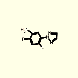 Nc1cc(-n2nccn2)c(F)cc1F